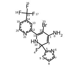 NC1=CC(F)(c2nccs2)NC(c2cc(C(F)(F)F)ccn2)=C1Br